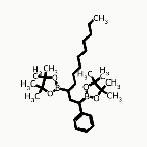 CCCCCCCCCC(CC(B1OC(C)(C)C(C)(C)O1)c1ccccc1)B1OC(C)(C)C(C)(C)O1